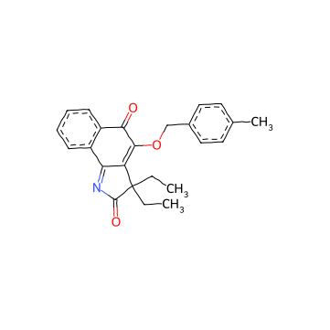 CCC1(CC)C(=O)N=C2C1=C(OCc1ccc(C)cc1)C(=O)c1ccccc12